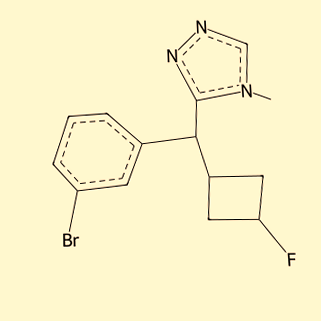 Cn1cnnc1C(c1cccc(Br)c1)C1CC(F)C1